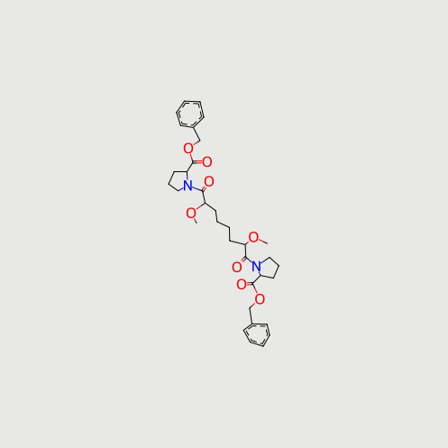 COC(CCCCC(OC)C(=O)N1CCCC1C(=O)OCc1ccccc1)C(=O)N1CCCC1C(=O)OCc1ccccc1